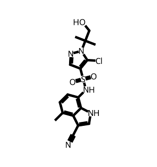 Cc1ccc(NS(=O)(=O)c2cnn(C(C)(C)CO)c2Cl)c2[nH]cc(C#N)c12